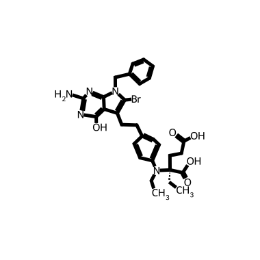 CCN(c1ccc(CCc2c(Br)n(Cc3ccccc3)c3nc(N)nc(O)c23)cc1)[C@@](CC)(CCC(=O)O)C(=O)O